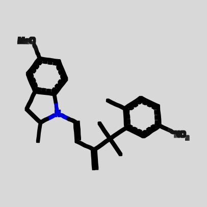 C=C(/C=C/N1c2ccc(OC)cc2CC1C)C(C)(C)c1cc([N+](=O)[O-])ccc1C